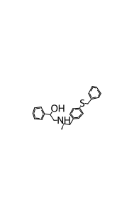 C[C@H](Cc1ccc(SCc2ccccc2)cc1)NC[C@H](O)c1ccccc1